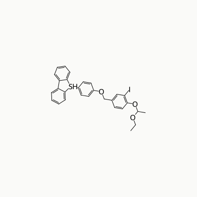 CCOC(C)Oc1ccc(COc2ccc([SH]3c4ccccc4-c4ccccc43)cc2)cc1I